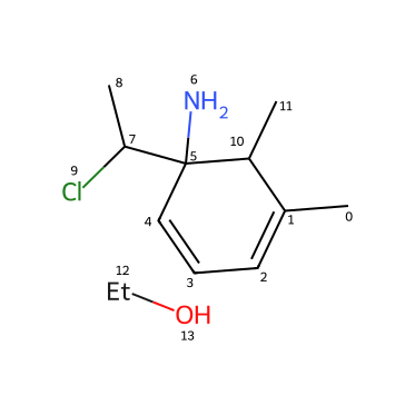 CC1=CC=CC(N)(C(C)Cl)C1C.CCO